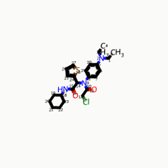 CCN(CC)c1ccc(N(C(=O)CCl)C(C(=O)NC2CCCCC2)c2cccs2)cc1